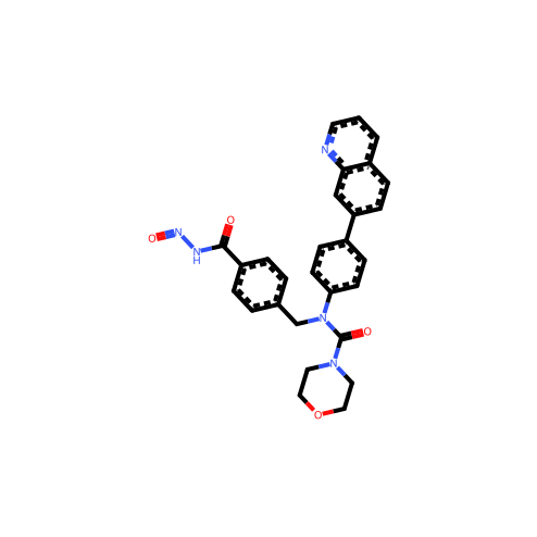 O=NNC(=O)c1ccc(CN(C(=O)N2CCOCC2)c2ccc(-c3ccc4cccnc4c3)cc2)cc1